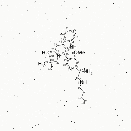 COc1cc(C(N)CNCCCF)ncc1[C@@H]1c2[nH]c3ccccc3c2C[C@@H](C)N1CC(C)(F)F